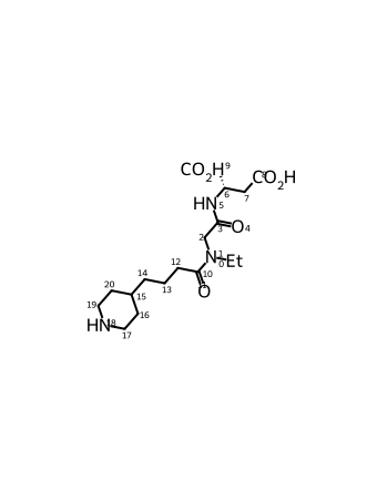 CCN(CC(=O)N[C@@H](CC(=O)O)C(=O)O)C(=O)CCCC1CCNCC1